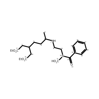 CCOC(=O)CC(CCC(C)NCCN(C(=O)O)C(=O)c1ccccc1)CC(=O)OCC